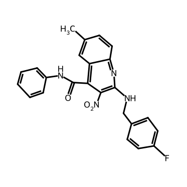 Cc1ccc2nc(NCc3ccc(F)cc3)c([N+](=O)[O-])c(C(=O)Nc3ccccc3)c2c1